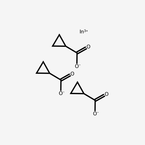 O=C([O-])C1CC1.O=C([O-])C1CC1.O=C([O-])C1CC1.[In+3]